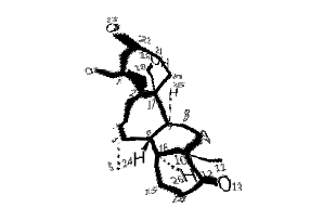 CC1=C2C[C@@H](C)[C@@H]3[C@H](CC[C@]4(C)C(=O)CC[C@@H]34)[C@@]2(CO)CCC1=O